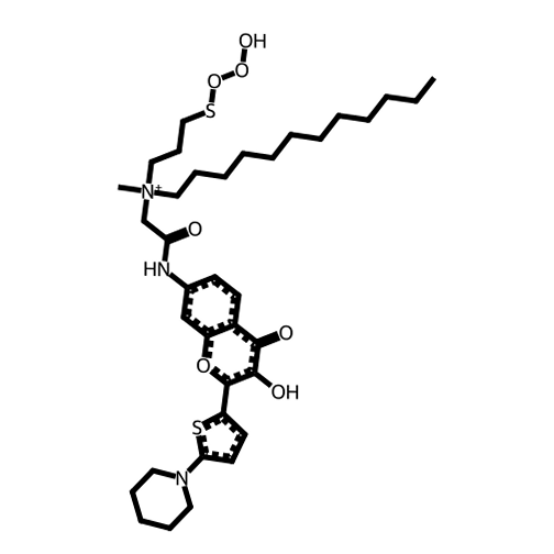 CCCCCCCCCCCC[N+](C)(CCCSOOO)CC(=O)Nc1ccc2c(=O)c(O)c(-c3ccc(N4CCCCC4)s3)oc2c1